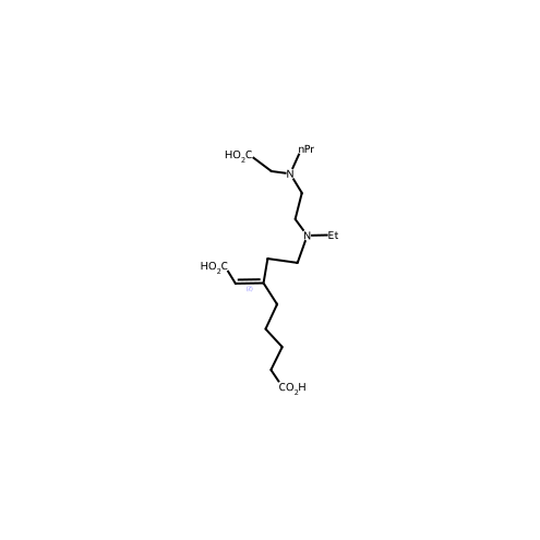 CCCN(CCN(CC)CC/C(=C\C(=O)O)CCCCC(=O)O)CC(=O)O